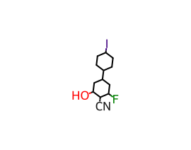 N#CC1C(O)CC(C2CCC(I)CC2)CC1F